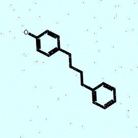 [O]c1ccc(CCCCc2ccccc2)cc1